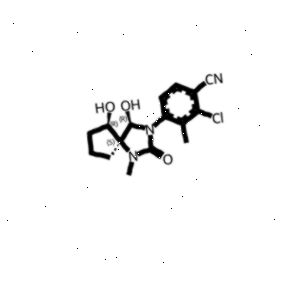 Cc1c(N2C(=O)N(C)[C@]3(CCC[C@H]3O)[C@H]2O)ccc(C#N)c1Cl